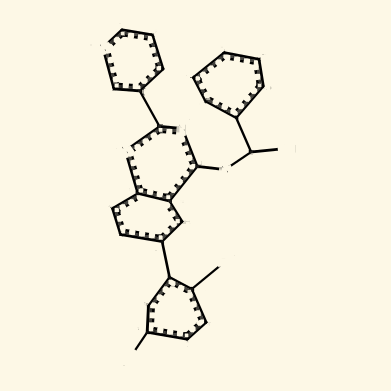 CC(Nc1nc(-c2cccnc2)nc2ccc(-c3cc(F)ccc3F)cc12)c1ccccc1